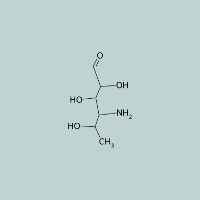 CC(O)C(N)C(O)C(O)C=O